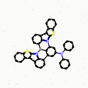 c1ccc(N(c2ccccc2)c2cc3c4c(c2)-n2c5sc6ccccc6c5c5cccc(c52)B4n2c4sc5ccccc5c4c4cccc-3c42)cc1